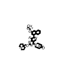 COCOc1cc(-c2ncc3c(N4CC5CC(=O)CC(C4)N5)nc(OCC45CCCN4CCC5)nc3c2F)c2ccccc2c1